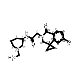 CCN1CCC[C@@H](NC(=O)CN2CC3(CC3)c3cc(Br)ccc3C2=O)C1